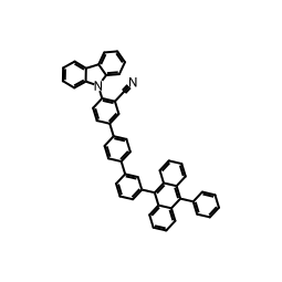 N#Cc1cc(-c2ccc(-c3cccc(-c4c5ccccc5c(-c5ccccc5)c5ccccc45)c3)cc2)ccc1-n1c2ccccc2c2ccccc21